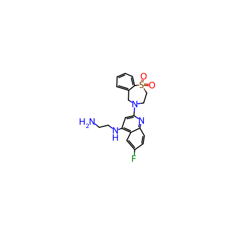 NCCNc1cc(N2CCS(=O)(=O)c3ccccc3C2)nc2ccc(F)cc12